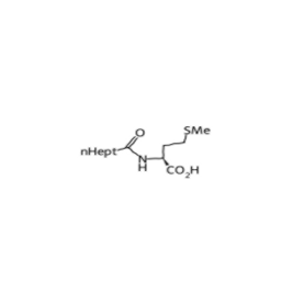 CCCCCCCC(=O)N[C@@H](CCSC)C(=O)O